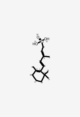 CC1=C(/C=C/C(C)=C/CP(=O)(O)O)C(C)(C)CCC1